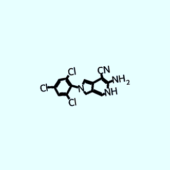 N#CC1=C(N)NC=C2CN(c3c(Cl)cc(Cl)cc3Cl)C=C21